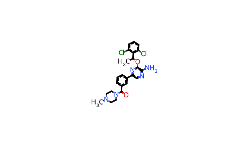 CC(Oc1nc(-c2cccc(C(=O)N3CCN(C)CC3)c2)cnc1N)c1c(Cl)cccc1Cl